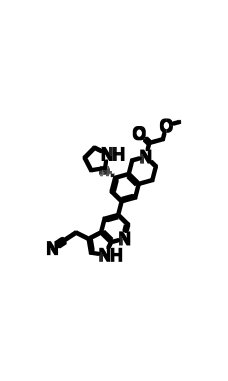 COCC(=O)N1CCc2cc(-c3cnc4[nH]cc(CC#N)c4c3)cc([C@@H]3CCCN3)c2C1